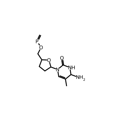 C=POCC1CCC(N2C=C(C)C(N)NC2=O)O1